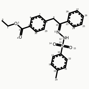 CCOC(=O)c1ccc(CC(=NNS(=O)(=O)c2ccc(C)cc2)c2ccccc2)cc1